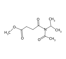 COC(=O)CCC(=O)N(C(C)=O)C(C)C